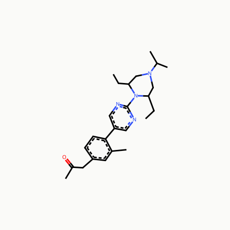 CCC1CN(C(C)C)CC(CC)N1c1ncc(-c2ccc(CC(C)=O)cc2C)cn1